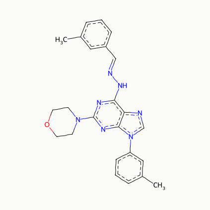 Cc1cccc(/C=N/Nc2nc(N3CCOCC3)nc3c2ncn3-c2cccc(C)c2)c1